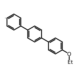 CCOc1ccc(-c2ccc(-c3cc[c]cc3)cc2)cc1